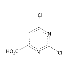 O=C(O)c1cc(Cl)nc(Cl)n1